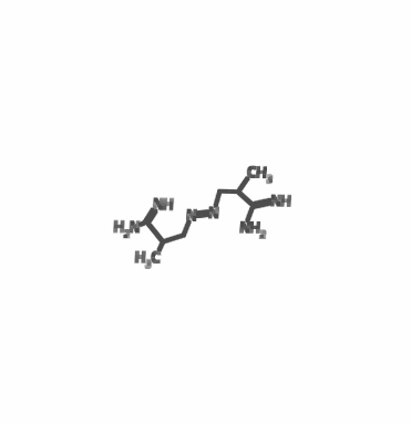 CC(CN=NCC(C)C(=N)N)C(=N)N